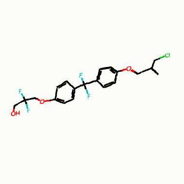 CC(CCl)COc1ccc(C(F)(F)c2ccc(OCC(F)(F)CO)cc2)cc1